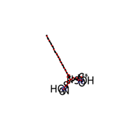 [C-]#[N+]/C(=C\c1ccc(-c2ccc(N(c3ccc(C#CC#CC#CC#CC#CC#CC#CC#CC#CC#CC#CC#CC#CC#CC#C)cc3)c3ccc(-c4ccc(/C=C(\C#N)C(=O)O)s4)cc3)cc2)s1)C(=O)O